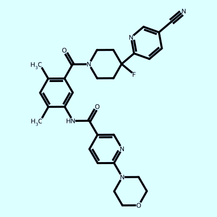 Cc1cc(C)c(C(=O)N2CCC(F)(c3ccc(C#N)cn3)CC2)cc1NC(=O)c1ccc(N2CCOCC2)nc1